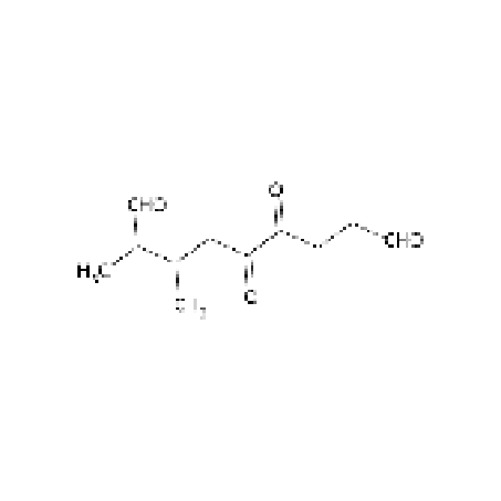 CC(C=O)C(C)CC(=O)C(=O)CCC=O